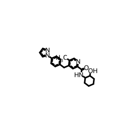 Cc1cnc(C(=O)NC2CCCCC2O)cc1Cc1ccc(-n2cccn2)cc1